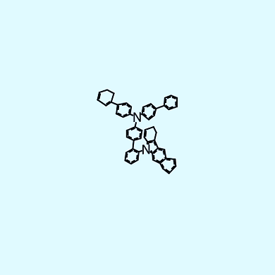 C1=CCCC(c2ccc(N(c3ccc(-c4ccccc4)cc3)c3ccc(-c4ccccc4-n4c5c(c6cc7ccccc7cc64)CCC=C5)cc3)cc2)=C1